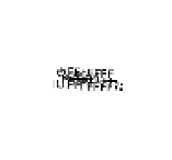 O=CC(F)(F)C(F)(F)C(F)(F)C(F)(F)C(F)(F)C(F)(F)C(F)(F)C(=O)O